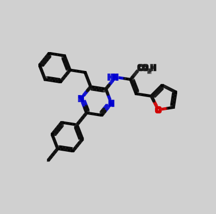 Cc1ccc(-c2cnc(NC(=Cc3ccco3)C(=O)O)c(Cc3ccccc3)n2)cc1